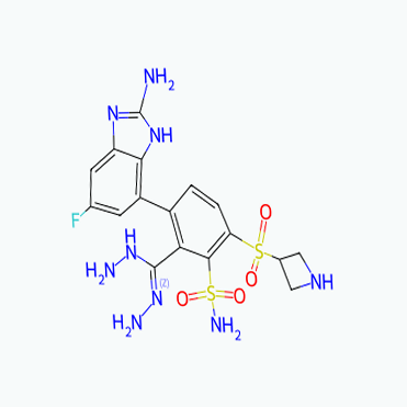 N/N=C(\NN)c1c(-c2cc(F)cc3nc(N)[nH]c23)ccc(S(=O)(=O)C2CNC2)c1S(N)(=O)=O